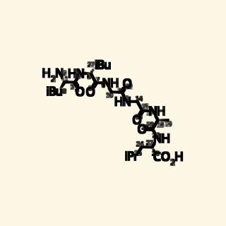 CC[C@H](C)[C@H](N)C(=O)N[C@H](C(=O)NCC(=O)NCC(=O)N[C@@H](C)C(=O)N[C@@H](CC(C)C)C(=O)O)[C@@H](C)CC